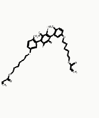 C=CC(=O)OCCCCCCOc1ccc(C(=O)O)c(-c2c(F)c(F)c(-c3cc(OCCCCCCOC(=O)C=C)ccc3C(=O)O)c(F)c2F)c1